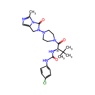 Cc1ncc2n1C(=O)N(N1CCN(C(=O)[C@H](NC(=O)Nc3ccc(Cl)cc3)C(C)(C)C)CC1)C2